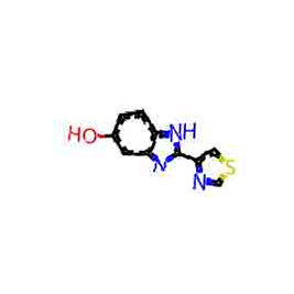 Oc1ccc2[nH]c(-c3cscn3)nc2c1